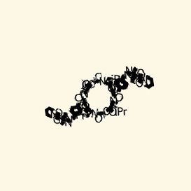 Cc1nn(Cc2ccc(C[C@H]3OC(=O)[C@H](CC(C)C)N(C)C(=O)[C@@H](C)OC(=O)[C@H](CC(C)C)N(C)C(=O)[C@@H](Cc4ccc(Cn5nc(C)c(S(=O)(=O)N6CCCCC6)c5C)cc4)OC(=O)[C@H](CC(C)C)N(C)C(=O)[C@@H](C)OC(=O)[C@H](CC(C)C)N(C)C3=O)cc2)c(C)c1S(=O)(=O)N1CCCCC1